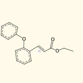 CCOC(=O)/C=C/c1ccccc1Oc1ccccc1